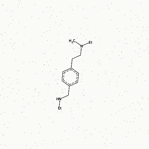 CCNCc1ccc(CCN(C)CC)cc1